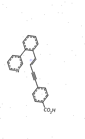 O=C(O)c1ccc(C#C/C=C/c2ccccc2-c2cccnc2)cc1